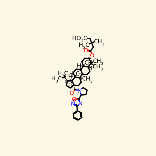 C=C(C)[C@@H]1CC[C@]2(C(=O)N3CCCC3c3nc(-c4ccccc4)no3)CC[C@]3(C)[C@H](CC[C@@H]4[C@@]5(C)CC[C@H](OC(=O)CC(C)(C)CC(=O)O)C(C)(C)[C@@H]5CC[C@]43C)[C@@H]12